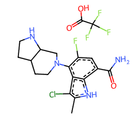 Cc1[nH]c2c(C(N)=O)cc(F)c(N3CCC4CCNC4C3)c2c1Cl.O=C(O)C(F)(F)F